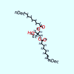 CCCCCCCCCCCCCCCCCC(=O)OCC(CC)(CO)COC(=O)CCCCCCCCCCCCCCCCC